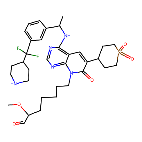 COC(C=O)CCCCCn1c(=O)c(C2CCS(=O)(=O)CC2)cc2c(NC(C)c3cccc(C(F)(F)C4CCNCC4)c3)ncnc21